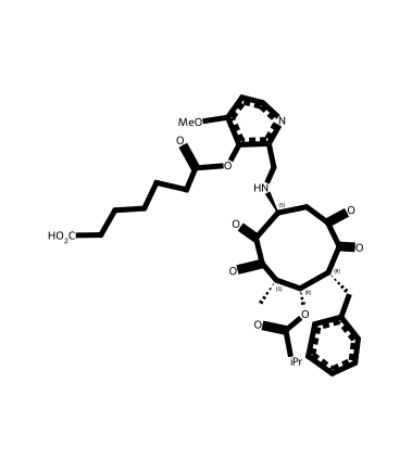 COc1ccnc(CN[C@H]2CC(=O)C(=O)[C@H](Cc3ccccc3)[C@H](OC(=O)C(C)C)[C@H](C)C(=O)C2=O)c1OC(=O)CCCCCC(=O)O